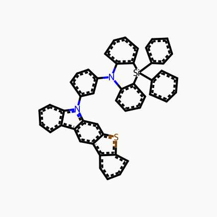 c1ccc([Si]2(c3ccccc3)c3ccccc3N(c3cccc(-n4c5ccccc5c5cc6c(cc54)sc4ccccc46)c3)c3ccccc32)cc1